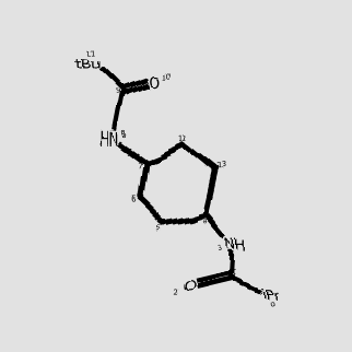 CC(C)C(=O)NC1CCC(NC(=O)C(C)(C)C)CC1